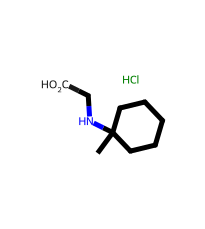 CC1(NCC(=O)O)CCCCC1.Cl